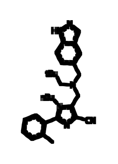 CCCCn1c(-c2ccccc2C)nc(C#N)c1CN(Cc1ccc2[nH]ncc2c1)CC(C)(C)C